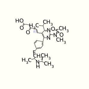 CC(C)NC(C)C.CC(C)c1nc(N(C)S(C)(=O)=O)nc(-c2ccc(F)cc2)c1/C=C/C(=O)CC(=O)O